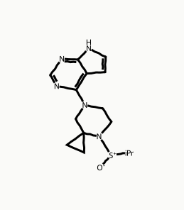 CC(C)[S+]([O-])N1CCN(c2ncnc3[nH]ccc23)CC12CC2